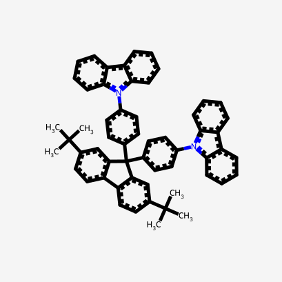 CC(C)(C)c1ccc2c(c1)C(c1ccc(-n3c4ccccc4c4ccccc43)cc1)(c1ccc(-n3c4ccccc4c4ccccc43)cc1)c1cc(C(C)(C)C)ccc1-2